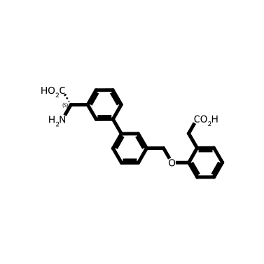 N[C@H](C(=O)O)c1cccc(-c2cccc(COc3ccccc3CC(=O)O)c2)c1